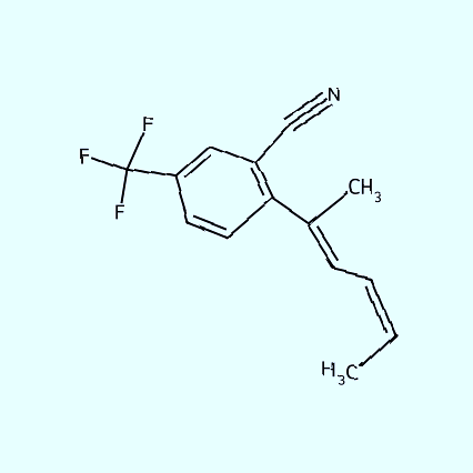 C/C=C\C=C(/C)c1ccc(C(F)(F)F)cc1C#N